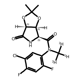 [2H]C([2H])([2H])N(C(=O)[C@H]1NC(=O)[C@H]2OC(C)(C)O[C@@H]12)c1cc(Cl)c(F)cc1F